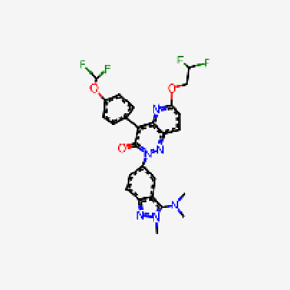 CN(C)c1c2cc(-n3nc4ccc(OCC(F)F)nc4c(-c4ccc(OC(F)F)cc4)c3=O)ccc2nn1C